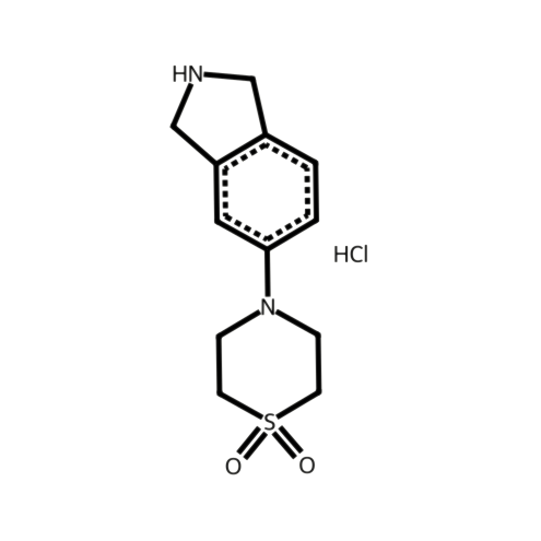 Cl.O=S1(=O)CCN(c2ccc3c(c2)CNC3)CC1